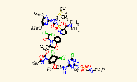 CC(C)Oc1cc(-n2nc(C(C)(C)C)oc2=O)c(Cl)cc1Cl.CC1COc2ccccc2N1C(=O)C(Cl)Cl.CCNc1nc(Cl)nc(NC(C)C)n1.COc1cc(OC)nc(NC(=O)NS(=O)(=O)c2ncccc2C(=O)N(C)C)n1.C[S+](C)C.O=C(O)CNCP(=O)([O-])O